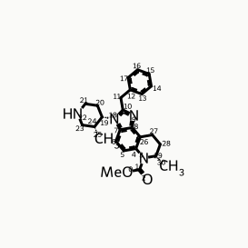 COC(=O)N1c2ccc3c(nc(Cc4ccccc4)n3[C@H]3CCNC[C@H]3C)c2CC[C@@H]1C